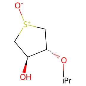 CC(C)O[C@H]1C[S+]([O-])C[C@@H]1O